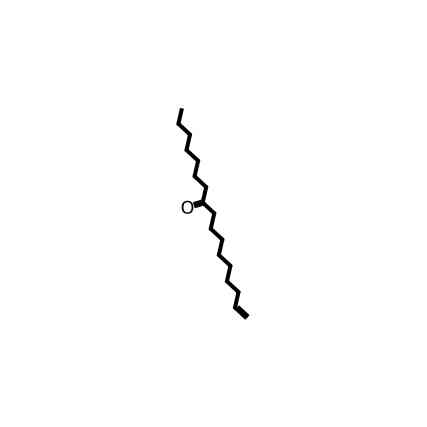 C=CCCCCCCCC(=O)CCCCCCC